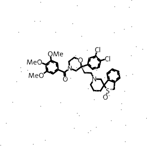 COc1cc(C(=O)N2CCO[C@](CCN3CCCC4(C3)c3ccccc3C[S+]4[O-])(c3ccc(Cl)c(Cl)c3)C2)cc(OC)c1OC